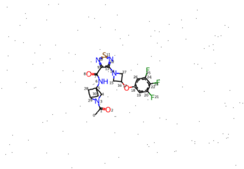 CC(=O)N1CC2(NC(=O)c3nsnc3N3CC(Oc4cc(F)c(F)c(F)c4)C3)CC1C2